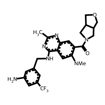 CNc1cc2c(NCc3cc(N)cc(C(F)(F)F)c3)nc(C)nc2cc1C(=O)N1CC2COCC2C1